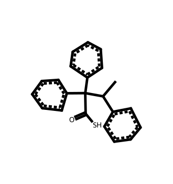 CC(c1ccccc1)C(C(=O)S)(c1ccccc1)c1ccccc1